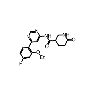 CCOc1cc(F)ccc1-c1cc(NC(=O)C2CCC(=O)NC2)ncn1